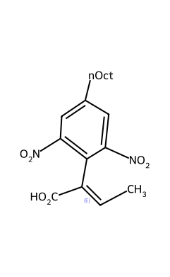 C/C=C(/C(=O)O)c1c([N+](=O)[O-])cc(CCCCCCCC)cc1[N+](=O)[O-]